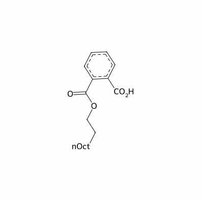 CCCCCCCCCCOC(=O)c1ccccc1C(=O)O